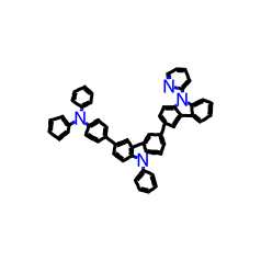 c1ccc(N(c2ccccc2)c2ccc(-c3ccc4c(c3)c3cc(-c5ccc6c(c5)c5ccccc5n6-c5ccccn5)ccc3n4-c3ccccc3)cc2)cc1